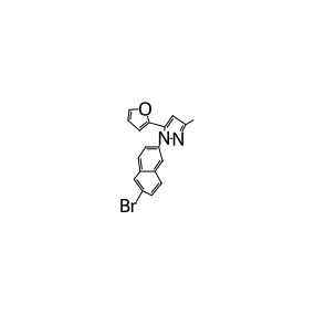 Cc1cc(-c2ccco2)n(-c2ccc3cc(Br)ccc3c2)n1